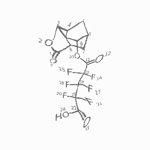 O=C1OC2C3CC(CC13)C2OC(=O)C(F)(F)C(F)(F)C(F)(F)C(=O)O